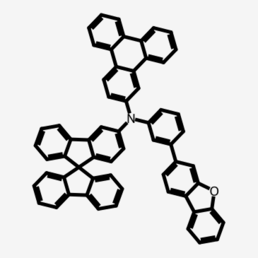 c1cc(-c2ccc3c(c2)oc2ccccc23)cc(N(c2ccc3c(c2)-c2ccccc2C32c3ccccc3-c3ccccc32)c2ccc3c4ccccc4c4ccccc4c3c2)c1